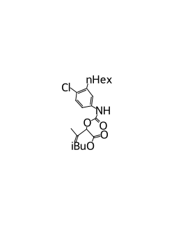 C=C(C)C(OC(=O)Nc1ccc(Cl)c(CCCCCC)c1)C(=O)OCC(C)C